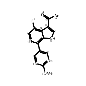 COc1ncc(-c2ncc(F)c3c(C(=O)C(C)=O)c[nH]c23)cn1